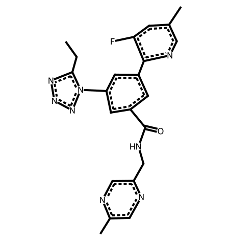 CCc1nnnn1-c1cc(C(=O)NCc2cnc(C)cn2)cc(-c2ncc(C)cc2F)c1